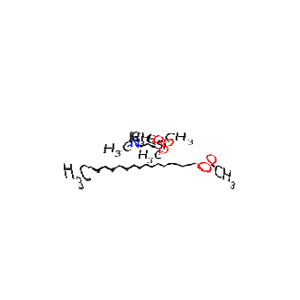 CCCCCCCCCCCCCCCCOC(C)=O.CO[Si](CCCN(C)C)(OC)OC